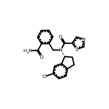 NC(=O)c1ccccc1CN(C(=O)c1cncs1)[C@@H]1CCc2ccc(Cl)cc21